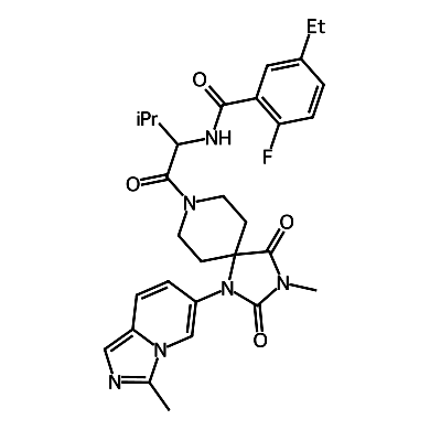 CCc1ccc(F)c(C(=O)NC(C(=O)N2CCC3(CC2)C(=O)N(C)C(=O)N3c2ccc3cnc(C)n3c2)C(C)C)c1